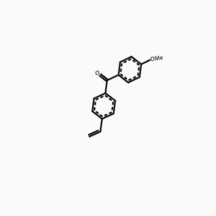 C=Cc1ccc(C(=O)c2ccc(OC)cc2)cc1